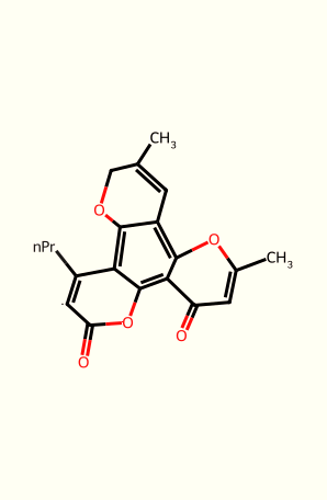 CCCc1[c]c(=O)oc2c1c1c(c3oc(C)cc(=O)c32)C=C(C)CO1